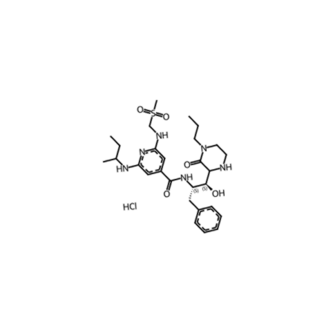 CCCN1CCNC([C@@H](O)[C@H](Cc2ccccc2)NC(=O)c2cc(NCS(C)(=O)=O)nc(NC(C)CC)c2)C1=O.Cl